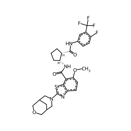 COc1ccc2nc(N3CC4COCC(C4)C3)sc2c1C(=O)N[C@@H]1CCC[C@@H]1C(=O)Nc1ccc(F)c(C(F)(F)F)c1